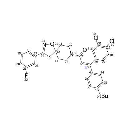 CC(C)(C)c1ccc(/C(=C/C(=O)N2CCC3(CC2)CC(c2cccc(F)c2)=NO3)c2ccc(Cl)c(Cl)c2)cc1